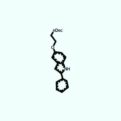 CCCCCCCCCCCCOc1ccc2[nH]c(-c3ccccc3)cc2c1